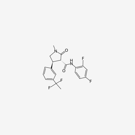 CN1C[C@H](c2cccc(C(C)(F)F)c2)[C@@H](C(=O)Nc2ccc(F)cc2F)C1=O